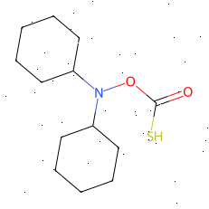 O=C(S)ON(C1CCCCC1)C1CCCCC1